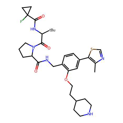 Cc1ncsc1-c1ccc(CNC(=O)C2CCCN2C(=O)C(NC(=O)C2(F)CC2)C(C)(C)C)c(OCCC2CCNCC2)c1